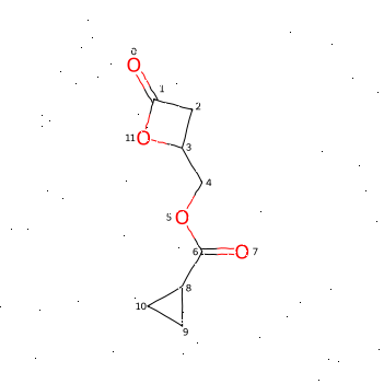 O=C1CC(COC(=O)C2CC2)O1